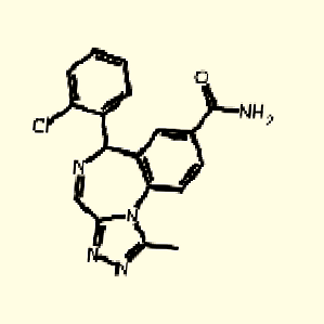 Cc1nnc2n1-c1ccc(C(N)=O)cc1C(c1ccccc1Cl)N=C2